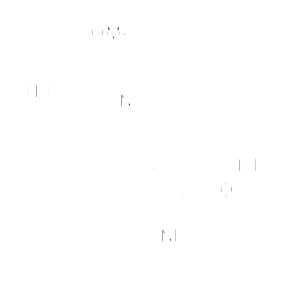 COC(C)N1CCCC2(C1)C(=O)Nc1ccccc12.Cl